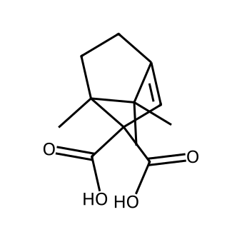 CC1(C)C2=CC(C(=O)O)(C(=O)O)C1(C)CC2